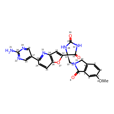 COc1ccc2c(c1)C(=O)N(C[C@@]1(c3cc4nc(-c5cnc(N)nc5)ccc4o3)NC(=O)NC1=O)C2